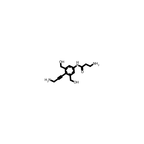 NCC#Cc1c(CO)cc(NC(=O)CCN)cc1CO